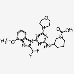 COc1cccc2c1nc(C(F)F)n2-c1nc(N[C@@H]2CCCN(C(=O)O)C2)nc(N2CCOCC2)n1